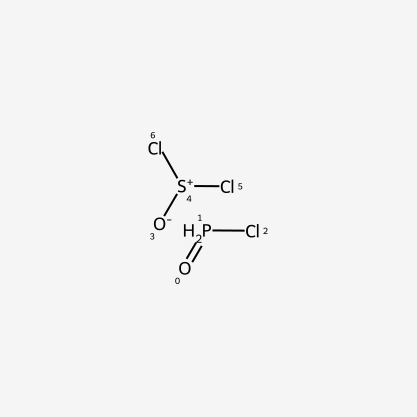 O=[PH2]Cl.[O-][S+](Cl)Cl